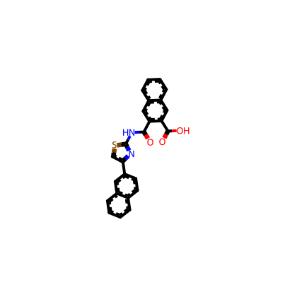 O=C(O)c1cc2ccccc2cc1C(=O)Nc1nc(-c2ccc3ccccc3c2)cs1